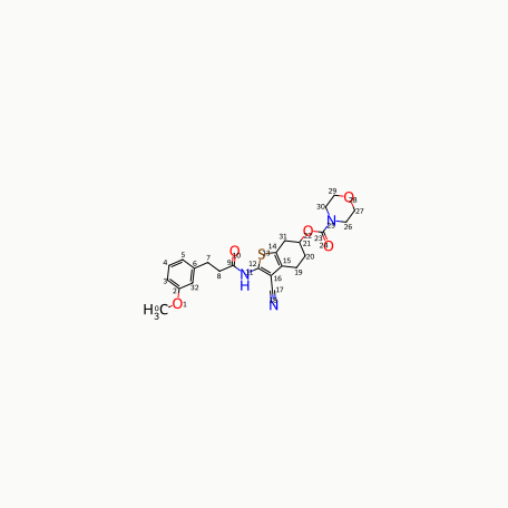 COc1cccc(CCC(=O)Nc2sc3c(c2C#N)CCC(OC(=O)N2CCOCC2)C3)c1